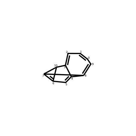 c1ccc2c3cc4c(c-3c1)C24